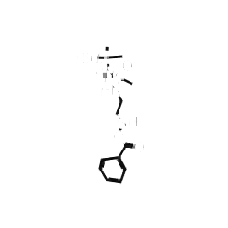 CC(C)(C)[Si](C)(C)N[SH](C)(=O)NCCNOC(=O)c1ccccc1